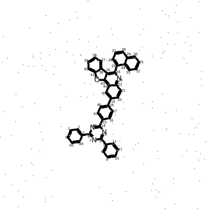 c1ccc(-c2nc(-c3ccccc3)nc(-c3ccc(-c4ccc5nc(-c6cccc7ccccc67)c6c7ccccc7oc6c5c4)cc3)n2)cc1